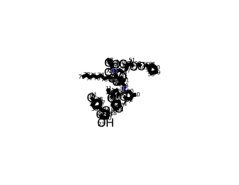 C=C1C[C@@H](C[C@H]2C[C@@H](O[Si](CC)(CC)CC)C[C@@H](C[C@H](CC(=O)O)OCc3ccc(OC)cc3)O2)O[C@@H](/C=C/C(C)(C)[C@]2(OC)O[C@H](C[C@@H](O)[C@@H](C)OCOCc3ccccc3)C/C(=C\C(=O)OC)[C@@H]2OC(=O)CCCCCCC)C1